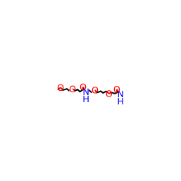 CNC(=O)CCOCCCCOCCNC(=O)CCCOCCCOC